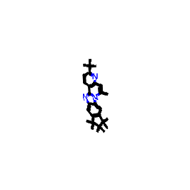 Cc1cc2nc(C(C)(C)C)ccc2c2nc3cc4c(cc3n12)C(C)(C)C(C)(C)C4(C)C